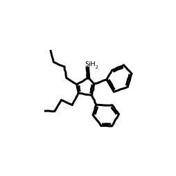 CCCCC1=C(CCCC)C(c2ccccc2)=C(c2ccccc2)C1=[SiH2]